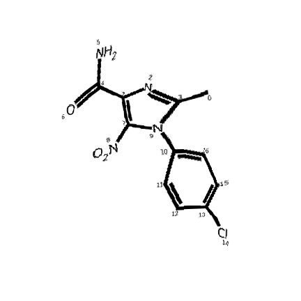 Cc1nc(C(N)=O)c([N+](=O)[O-])n1-c1ccc(Cl)cc1